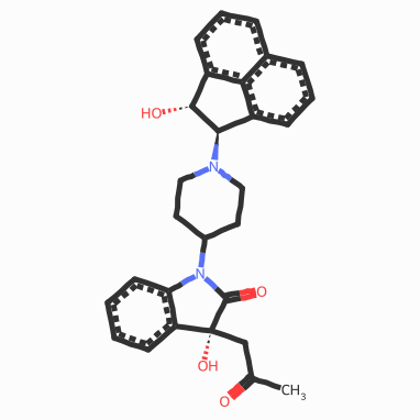 CC(=O)C[C@]1(O)C(=O)N(C2CCN([C@@H]3c4cccc5cccc(c45)[C@H]3O)CC2)c2ccccc21